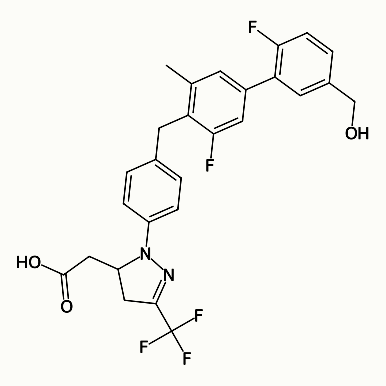 Cc1cc(-c2cc(CO)ccc2F)cc(F)c1Cc1ccc(N2N=C(C(F)(F)F)CC2CC(=O)O)cc1